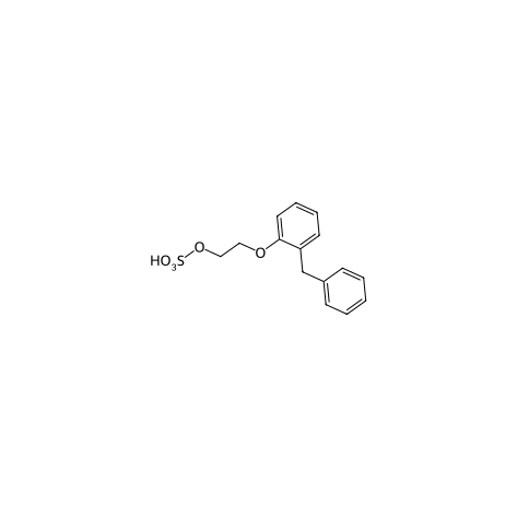 O=S(=O)(O)OCCOc1ccccc1Cc1ccccc1